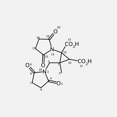 CC1(CN2C(=O)CCC2=O)C(C(=O)O)C1(C(=O)O)N1C(=O)CCC1=O